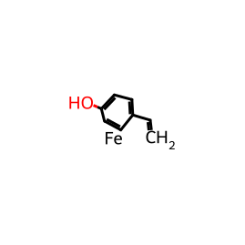 C=Cc1ccc(O)cc1.[Fe]